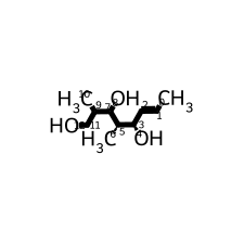 CC=C[C@@H](O)[C@H](C)C(O)C(C)CO